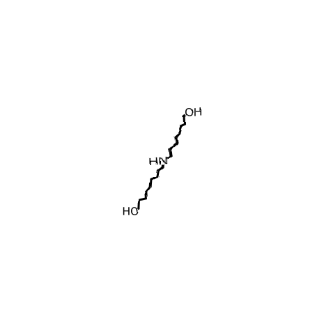 OCCCCCCCCCNCCCCCCCCO